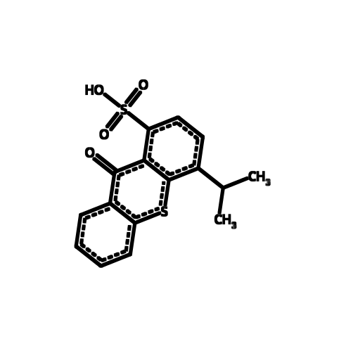 CC(C)c1ccc(S(=O)(=O)O)c2c(=O)c3ccccc3sc12